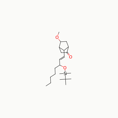 CCCCCC(C=CC1C2CC(OC)C1CC2=O)O[Si](C)(C)C(C)(C)C